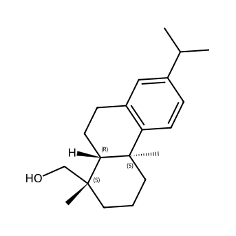 CC(C)c1ccc2c(c1)CC[C@H]1[C@@](C)(CO)CCC[C@]21C